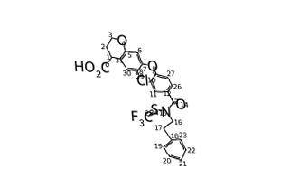 O=C(O)C1CCOc2cc(Oc3ccc(C(=O)N(CCc4ccccc4)SC(F)(F)F)cc3)c(Cl)cc21